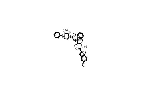 CC1CN(C(=O)CNC(=O)[C@H](Cc2ccccn2)NC(=O)c2cc3cc(Cl)ccc3o2)CCN1c1ccccc1